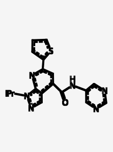 CC(C)n1ncc2c(C(=O)Nc3cncnc3)cc(-c3cccs3)nc21